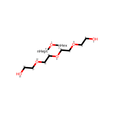 CCCCCCCOCCCCCC.OCCOCCOCCOCCO